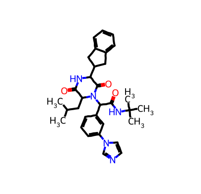 CC(C)CC1C(=O)NC(C2Cc3ccccc3C2)C(=O)N1C(C(=O)NC(C)(C)C)c1cccc(-n2ccnc2)c1